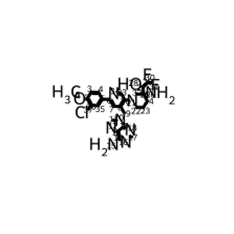 COc1ccc(-c2cc(Cn3cnc4c(N)ncnc43)c(N3CCC[C@](N)([C@@H](O)C(F)F)C3)cn2)cc1Cl